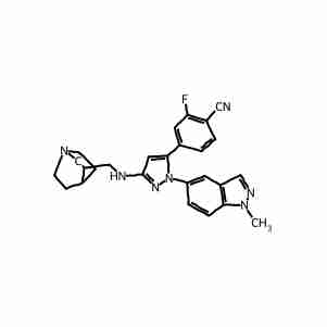 Cn1ncc2cc(-n3nc(NCC4CN5CCC4CC5)cc3-c3ccc(C#N)c(F)c3)ccc21